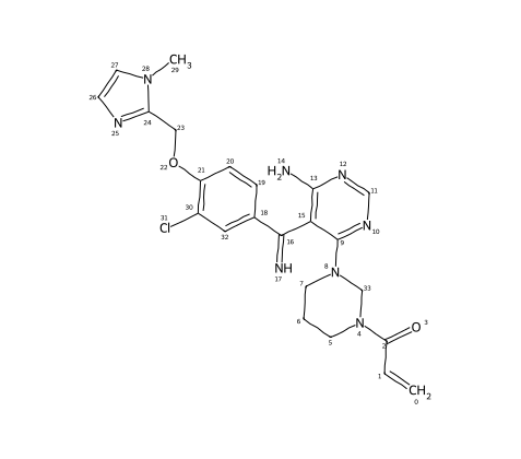 C=CC(=O)N1CCCN(c2ncnc(N)c2C(=N)c2ccc(OCc3nccn3C)c(Cl)c2)C1